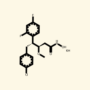 CO[C@H](CC(=O)NO)[C@H](Cc1ccc(Cl)cc1)c1ccc(F)cc1F.[KH]